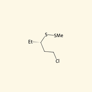 CC[C@@H](CCCl)SSC